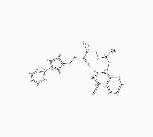 CN(CCN(C)C(=O)CCc1nc(-c2ccccc2)no1)Cc1n[nH]c(=O)c2ccccc12